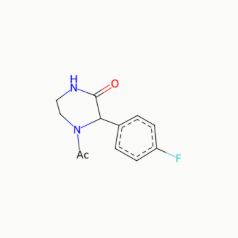 CC(=O)N1CCNC(=O)C1c1ccc(F)cc1